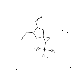 CCN1C[C@]2(CC1C=O)C[C@H]2C(C)(C)C